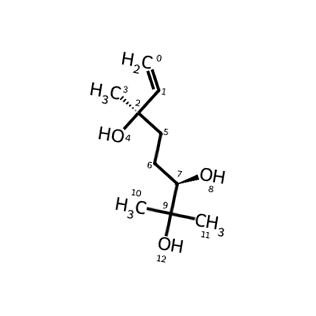 C=C[C@](C)(O)CC[C@@H](O)C(C)(C)O